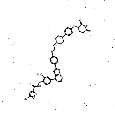 Cc1cc(-c2ncnn3cc(-c4ccc(OCCN5CCC(c6ccc(OC7CCC(=O)NC7=O)cc6)CC5)cc4)cc23)ccc1CNC(=O)c1noc(C(C)(C)C)n1